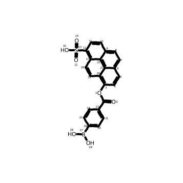 O=C(Oc1ccc2ccc3ccc(S(=O)(=O)O)c4ccc1c2c34)c1ccc(B(O)O)cc1